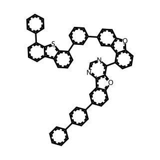 c1ccc(-c2ccc(-c3ccc4oc5c(-c6cccc7oc8ccc(-c9cccc(-c%10cccc%11c%10sc%10c(-c%12ccccc%12)cccc%10%11)c9)cc8c67)ncnc5c4c3)cc2)cc1